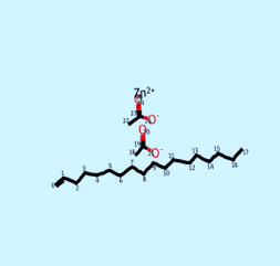 C=CCCCCCCCCCCCCCCCC.CC(=O)[O-].CC(=O)[O-].[Zn+2]